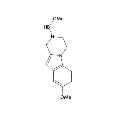 COBN1CCn2c(cc3cc(OC)ccc32)C1